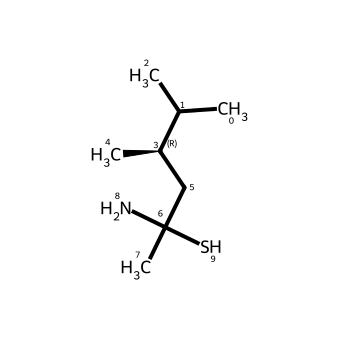 CC(C)[C@H](C)CC(C)(N)S